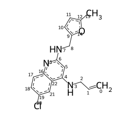 C=CCNc1cc(NCc2ccc(C)o2)nc2ccc(Cl)cc12